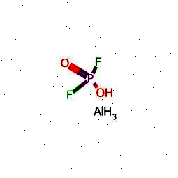 O=P(O)(F)F.[AlH3]